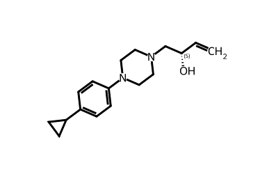 C=C[C@H](O)CN1CCN(c2ccc(C3CC3)cc2)CC1